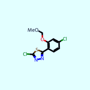 COCOc1cc(Cl)ccc1-c1nnc(Cl)s1